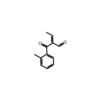 C/C=C(/C=O)C(=O)c1ccccc1C